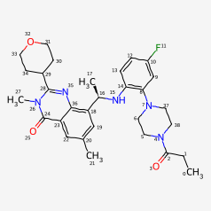 CCC(=O)N1CCN(c2cc(F)ccc2N[C@H](C)c2cc(C)cc3c(=O)n(C)c(C4CCOCC4)nc23)CC1